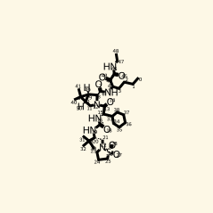 CCCCC(NC(=O)[C@@H]1[C@@H]2[C@H](CN1C(=O)[C@@H](NC(=O)N[C@H](CN1CCCS1(=O)=O)C(C)(C)C)C1CCCCC1)C2(C)C)C(=O)C(=O)NCC